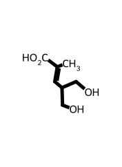 C/C(=C\C(CO)CO)C(=O)O